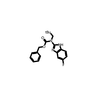 CC(C)(C)CN(C(=O)OCc1ccccc1)c1nc2cc(F)ccc2[nH]1